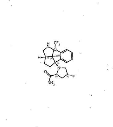 NC(=O)[C@@H]1C[C@@H](F)CN1[C@@]1(c2ccccc2OC(F)(F)F)CC[C@@H]2CNC[C@@H]21